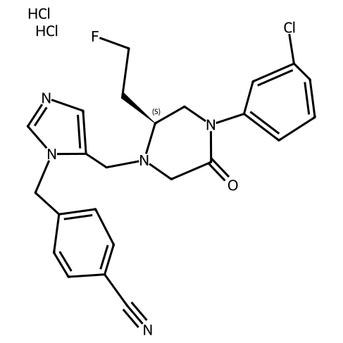 Cl.Cl.N#Cc1ccc(Cn2cncc2CN2CC(=O)N(c3cccc(Cl)c3)C[C@@H]2CCF)cc1